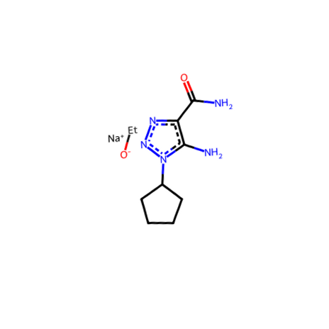 CC[O-].NC(=O)c1nnn(C2CCCC2)c1N.[Na+]